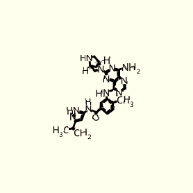 C=C(C)c1cc(NC(=O)c2ccc(C)c(Nc3ncnc4c(N)nc(N5C[C@@H]6C[C@H]5CN6)nc34)c2)[nH]n1